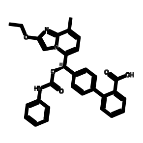 CCOc1cn2c([C@H](OC(=O)Nc3ccccc3)c3ccc(-c4ccccc4C(=O)O)cc3)ccc(C)c2n1